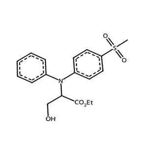 CCOC(=O)C(CO)N(c1ccccc1)c1ccc(S(C)(=O)=O)cc1